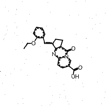 CCOc1ccccc1C=C1CCc2c1nc1ccc(C(=O)O)cn1c2=O